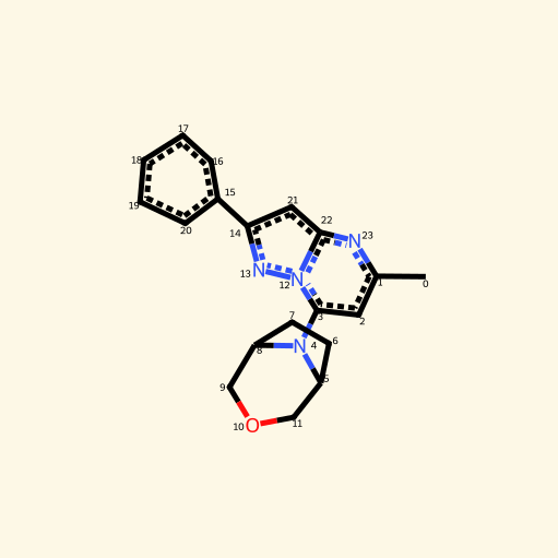 Cc1cc(N2C3CCC2COC3)n2nc(-c3ccccc3)cc2n1